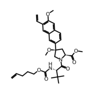 C=CCCCOC(=O)N[C@H](C(=O)N1C[C@](OC)(c2ccc3cc(OC)c(C=C)cc3c2)C[C@H]1C(=O)OC)C(C)(C)C